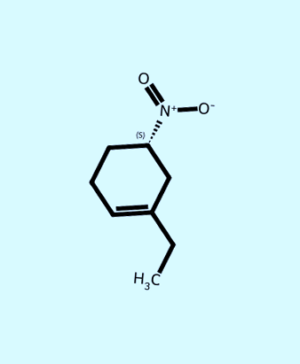 CCC1=CCC[C@H]([N+](=O)[O-])C1